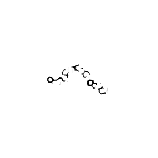 O=C1CCC(N2Cc3ccc(N4CC[C@H](CN5C[C@@H]6[C@H](C5)[C@H]6CN5CCN6c7cc(-c8ccccc8O)nnc7NC[C@H]6C5)[C@@H](F)C4)cc3C2=O)C(=O)N1